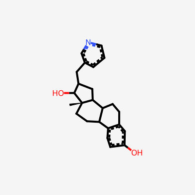 C[C@]12CCC3c4ccc(O)cc4CCC3C1CC(Cc1cccnc1)C2O